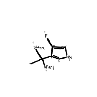 CCCCCCC(C)(CCCCC)c1c[nH]cc1F